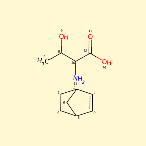 C1=CC2CCC1C2.CC(O)C(N)C(=O)O